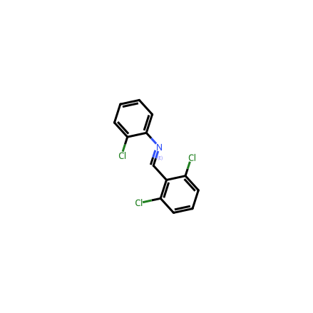 Clc1ccccc1/N=C/c1c(Cl)cccc1Cl